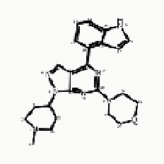 CN1CCC(n2ncc3c(-c4cccc5[nH]ccc45)nc(N4CCOCC4)nc32)CC1